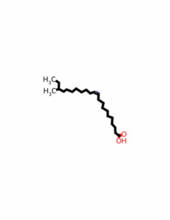 CCC(C)CCCCCCC/C=C\CCCCCCCCCC(=O)O